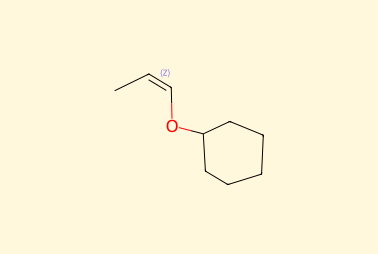 C/C=C\OC1CCCCC1